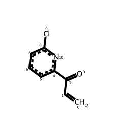 C=CC(=O)c1cccc(Cl)n1